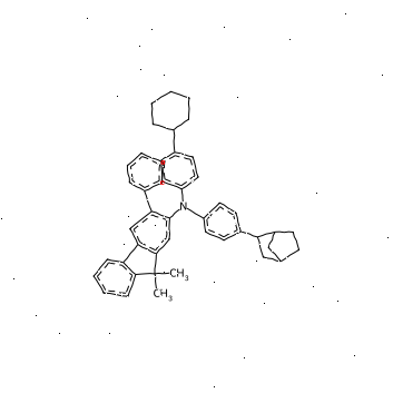 CC1(C)c2ccccc2-c2cc(-c3ccccc3)c(N(c3ccc(C4CCCCC4)cc3)c3ccc(C4CC5CCC4C5)cc3)cc21